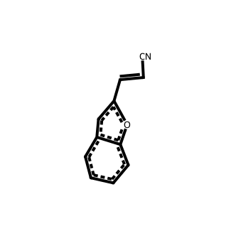 N#CC=Cc1cc2ccccc2o1